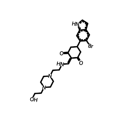 O=C1CC(c2cc3[nH]ccc3cc2Br)CC(=O)C1=CNCCN1CCN(CCO)CC1